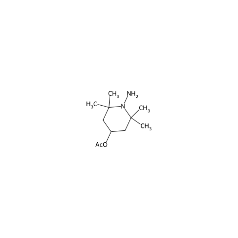 CC(=O)OC1CC(C)(C)N(N)C(C)(C)C1